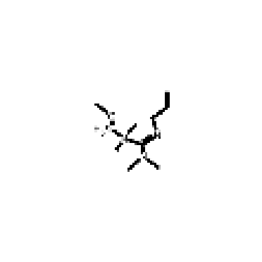 CCCN=C(N(C)C)[N+](C)(C)[SiH2]OC